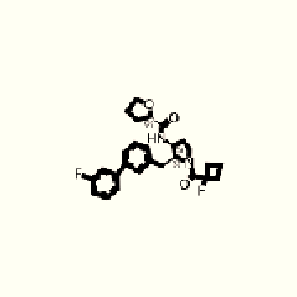 O=C(N[C@H]1CCN(C(=O)C2(F)CCC2)[C@H]1Cc1cccc(-c2cccc(F)c2)c1)[C@@H]1CCCO1